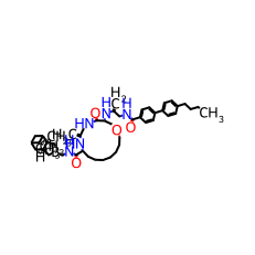 C=C1CNC(=O)C(NC(=C)CNC(=O)c2ccc(-c3ccc(CCCC)cc3)cc2)COCCCCCCCC(C(=O)NCB2C[C@@H]3CC4CC(C4(C)C)[C@]3(C)C2)N1